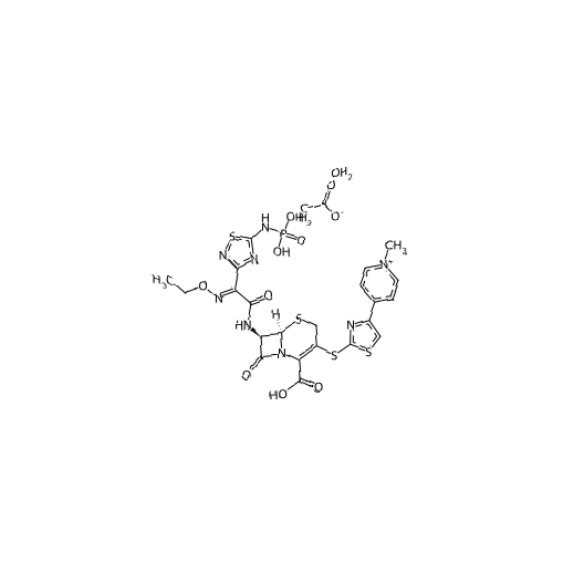 CC(=O)[O-].CCON=C(C(=O)N[C@@H]1C(=O)N2C(C(=O)O)=C(Sc3nc(-c4cc[n+](C)cc4)cs3)CS[C@H]12)c1nsc(NP(=O)(O)O)n1.O